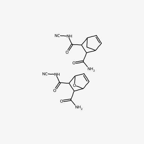 N#CNC(=O)C1C2C=CC(C2)C1C(N)=O.N#CNC(=O)C1C2C=CC(O2)C1C(N)=O